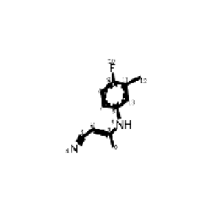 CC(=CC#N)Nc1ccc(F)c(C)c1